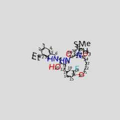 CCc1cccc(CNCC(O)C2Cc3ccc(c(F)c3)OCCCCC(=O)N(C)C(CCSC)C(=O)N2)c1